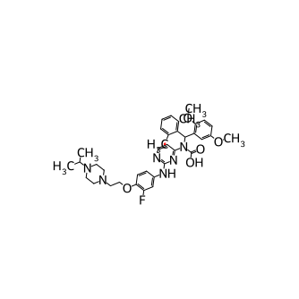 COc1ccc(OC)c(C(c2c(C)cccc2C)N(C(=O)O)c2ccnc(Nc3ccc(OCCN4CCN(C(C)C)CC4)c(F)c3)n2)c1